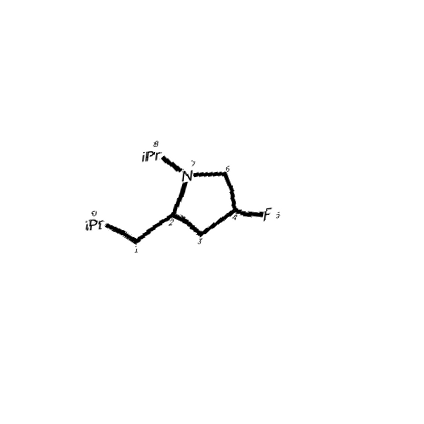 CC(C)CC1CC(F)CN1C(C)C